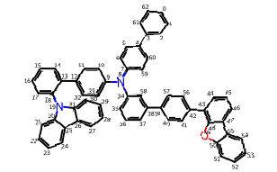 c1ccc(-c2ccc(N(c3ccc(-c4ccccc4-n4c5ccccc5c5ccccc54)cc3)c3cccc(-c4ccc(-c5cccc6c5oc5ccccc56)cc4)c3)cc2)cc1